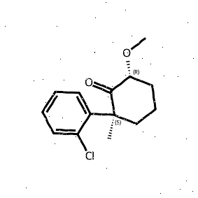 CO[C@@H]1CCC[C@@](C)(c2ccccc2Cl)C1=O